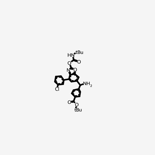 CC(C)(C)NC(=O)Oc1nc2c(-c3cccc(Cl)c3)cc(C(N)c3ccc(C(=O)OC(C)(C)C)cc3)cc2o1